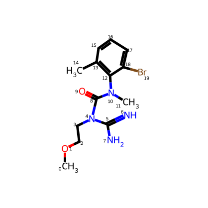 COCCN(C(=N)N)C(=O)N(C)c1c(C)cccc1Br